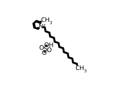 CCCCCCCCCCCCCCCC[n+]1ccccc1C.O=S(=O)([O-])O